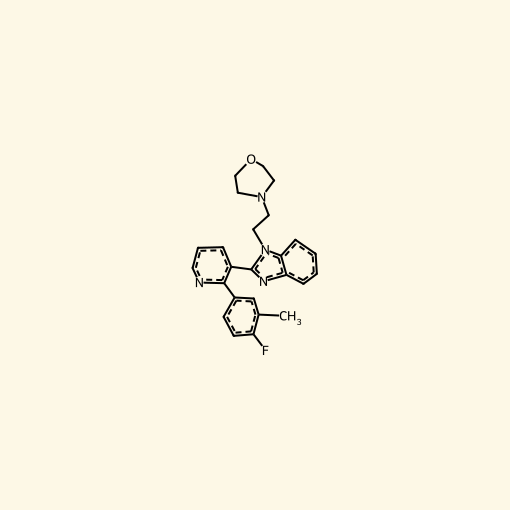 Cc1cc(-c2ncccc2-c2nc3ccccc3n2CCN2CCOCC2)ccc1F